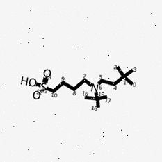 CC(C)(C)CCN(CCCCS(=O)(=O)O)C(C)(C)C